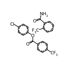 NC(=O)c1ccccc1C(F)(F)F.O=C(Oc1ccc(Cl)cc1)c1ccc(C(F)(F)F)cc1